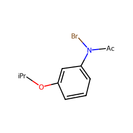 CC(=O)N(Br)c1cccc(OC(C)C)c1